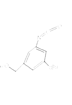 CC(=O)OCc1cc(N=C=O)cc(C(C)(C)C)c1